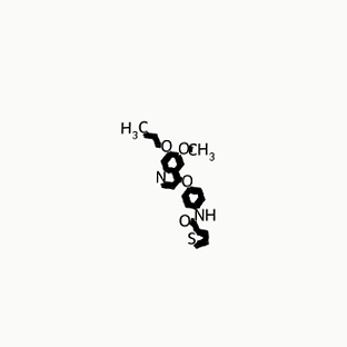 CCCCOc1cc2nccc(Oc3ccc(NC(=O)c4cccs4)cc3)c2cc1OC